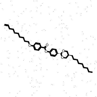 C=CCCCCCCCCOc1ccc(C(=O)Oc2ccc([C@H]3OC[C@H](CCCCCCCCC)CO3)cc2)cc1